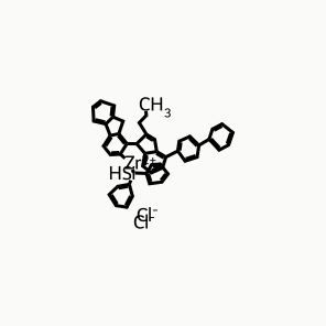 CCCC1=Cc2c(-c3ccc(-c4ccccc4)cc3)cccc2C1c1[c]([Zr+2][SiH](c2ccccc2)c2ccccc2)ccc2c1Cc1ccccc1-2.[Cl-].[Cl-]